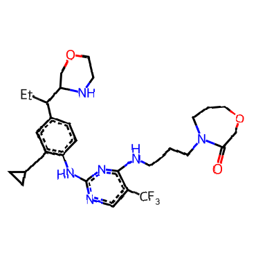 CCC(c1ccc(Nc2ncc(C(F)(F)F)c(NCCCN3CCCOCC3=O)n2)c(C2CC2)c1)C1COCCN1